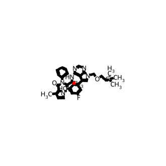 Cc1ccn2nc([C@H](C)Nc3ncnc4c3c(-c3cc(O)cc(F)c3)cn4COCC[Si](C)(C)C)n(-c3ccccc3)c(=O)c12